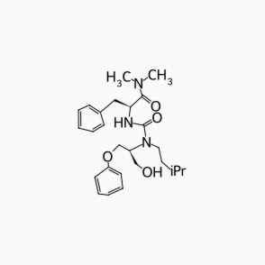 CC(C)CCN(C(=O)N[C@@H](Cc1ccccc1)C(=O)N(C)C)[C@@H](CO)COc1ccccc1